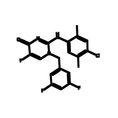 Cc1cc(Nc2nc(=O)c(F)cn2Cc2cc(F)cc(F)c2)c(C)cc1Cl